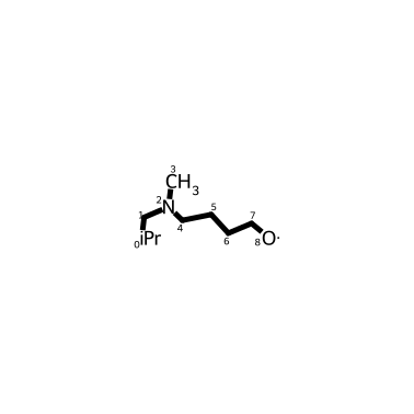 CC(C)CN(C)CCCC[O]